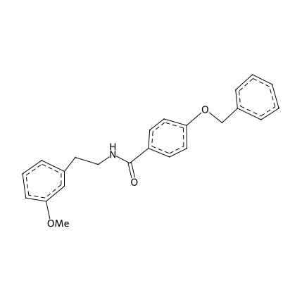 COc1cccc(CCNC(=O)c2ccc(OCc3ccccc3)cc2)c1